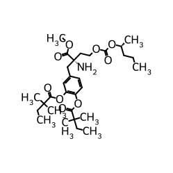 CCC[C@H](C)OC(=O)OCC[C@@](N)(Cc1ccc(OC(=O)C(C)(C)CC)c(OC(=O)C(C)(C)CC)c1)C(=O)OC